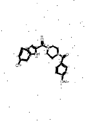 COc1ccc(C(=O)N2CCN(C(=O)c3cc4ccc(Cl)cc4[nH]3)CC2)cc1